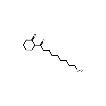 O=CCCCCCCCCC(=O)C1CCCCC1=O